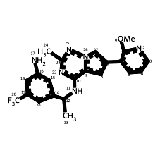 COc1ncccc1-c1cc2c(NC(C)c3cc(N)cc(C(F)(F)F)c3)nc(C)nn2c1